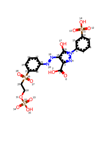 O=C(O)c1nn(-c2cccc(S(=O)(=O)O)c2)c(O)c1/N=N/c1cccc(S(=O)(=O)CCOS(=O)(=O)O)c1